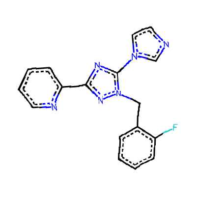 Fc1ccccc1Cn1nc(-c2ccccn2)nc1-n1ccnc1